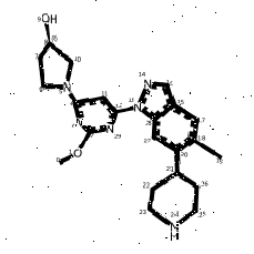 COc1nc(N2CC[C@@H](O)C2)cc(-n2ncc3cc(C)c(C4CCNCC4)cc32)n1